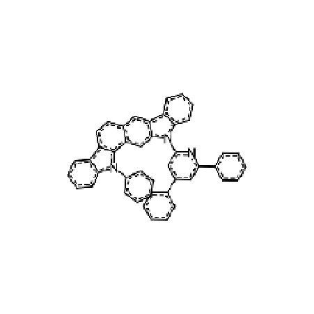 c1ccc(-c2cc(-c3ccccc3)nc(-n3c4ccccc4c4cc5ccc6c7ccccc7n(-c7ccccc7)c6c5cc43)c2)cc1